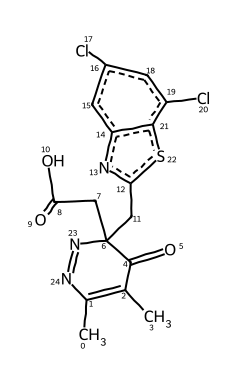 CC1=C(C)C(=O)C(CC(=O)O)(Cc2nc3cc(Cl)cc(Cl)c3s2)N=N1